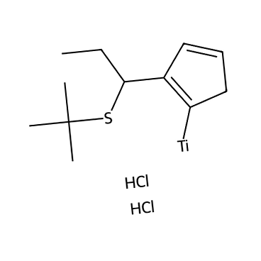 CCC(SC(C)(C)C)C1=[C]([Ti])CC=C1.Cl.Cl